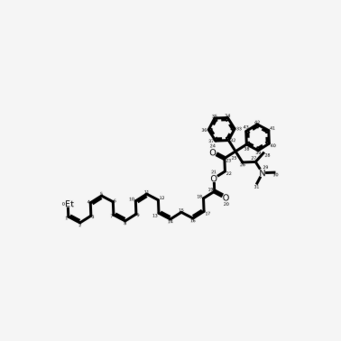 CC/C=C\C/C=C\C/C=C\C/C=C\C/C=C\C/C=C\CC(=O)OCC(=O)C(CC(C)N(C)C)(c1ccccc1)c1ccccc1